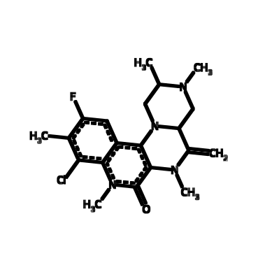 C=C1C2CN(C)C(C)CN2c2c(c(=O)n(C)c3c(Cl)c(C)c(F)cc23)N1C